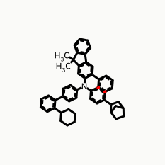 CC1(C)c2ccccc2-c2cc(-c3ccccc3)c(N(c3ccc(-c4ccccc4C4CCCCC4)cc3)c3ccc(C4CC5CCC4C5)cc3)cc21